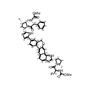 COC(=O)NC(C(=O)N1[C@@H](C)CC[C@H]1c1nc2ccc3cc4c(cc3c2[nH]1)OCc1cc(-c2cnc([C@@H]3C[C@H](C)CN3C(=O)[C@H](NC(=O)OC)c3ccccc3)[nH]2)ccc1-4)C(C)C